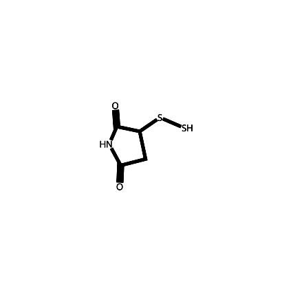 O=C1CC(SS)C(=O)N1